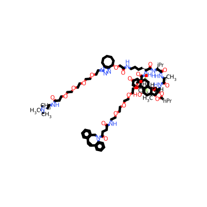 CCCC1O[C@@H]2C[C@H]3[C@@H]4C[C@H](F)C5=CC(=O)C=C[C@]5(C)[C@@]4(F)[C@@H](O)C[C@]3(C)[C@]2(C(=O)CNC(=O)[C@H](C)NC(=O)[C@@H](NC(=O)[C@@H](CCCCNC(=O)COC2CCCCCc3c2nnn3CCOCCOCCOCCOCCC(=O)NCC[N+](C)(C)C)NC(=O)CCOCCOCCOCCOCCNC(=O)CCC(=O)N2Cc3ccccc3C#Cc3ccccc32)C(C)C)O1